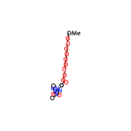 COCCOCCOCCOCCOCCOCCOCCOCCOCCOC(=O)c1ccc(-c2nc3c(=O)n(CC4CCCCC4)c(=O)n(CC4CCCCC4)c3[nH]2)cc1